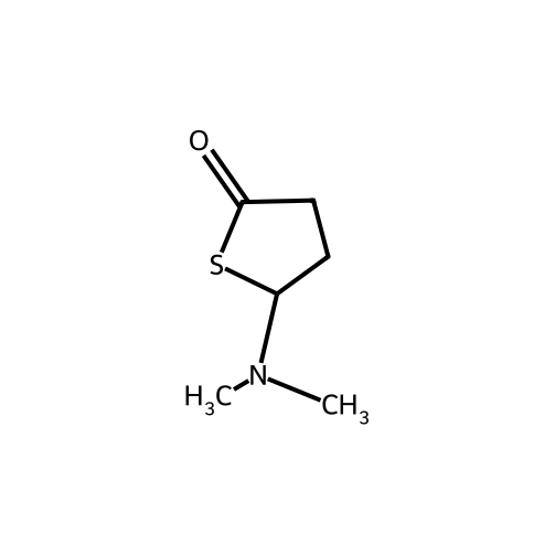 CN(C)C1CCC(=O)S1